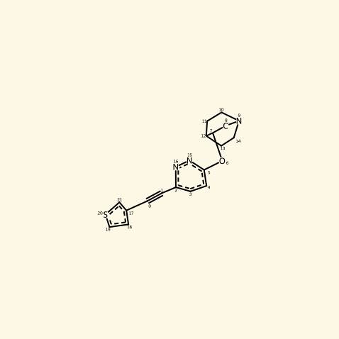 C(#Cc1ccc(OC2CN3CCC2CC3)nn1)c1ccsc1